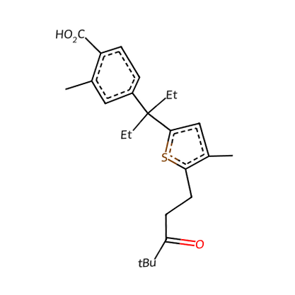 CCC(CC)(c1ccc(C(=O)O)c(C)c1)c1cc(C)c(CCC(=O)C(C)(C)C)s1